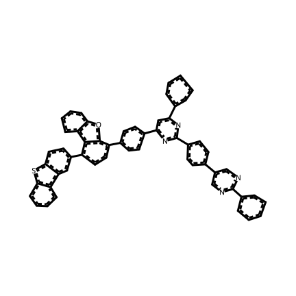 c1ccc(-c2cc(-c3ccc(-c4ccc(-c5ccc6sc7ccccc7c6c5)c5c4oc4ccccc45)cc3)nc(-c3ccc(-c4cnc(-c5ccccc5)nc4)cc3)n2)cc1